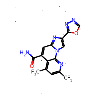 NC(=O)c1cc2nc(-c3nnco3)cn2c2nc(C(F)(F)F)cc(C(F)(F)F)c12